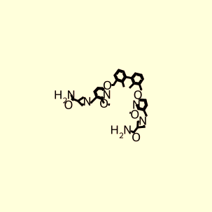 COc1nc(OCc2cccc(-c3cccc(COc4ccc(CN5CC(C(N)=O)C5)c(OC)n4)c3C)c2C)ccc1CN1CC(C(N)=O)C1